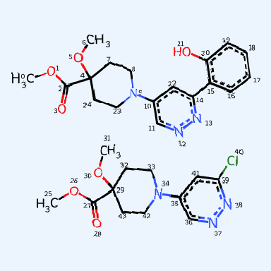 COC(=O)C1(OC)CCN(c2cnnc(-c3ccccc3O)c2)CC1.COC(=O)C1(OC)CCN(c2cnnc(Cl)c2)CC1